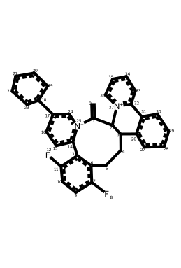 C=C1C2C(CCc3c(F)ccc(F)c3-c3ccc(-c4ccccc4)c[n+]31)c1ccccc1-c1cccc[n+]12